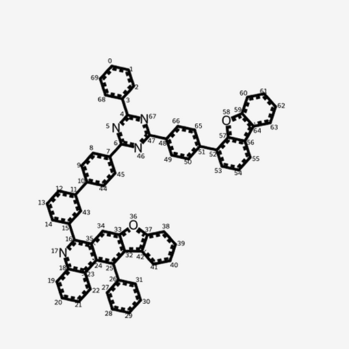 c1ccc(-c2nc(-c3ccc(-c4cccc(-c5nc6ccccc6c6c(-c7ccccc7)c7c(cc56)oc5ccccc57)c4)cc3)nc(-c3ccc(-c4cccc5c4oc4ccccc45)cc3)n2)cc1